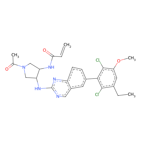 C=CC(=O)NC1CN(C(C)=O)CC1Nc1ncc2cc(-c3c(Cl)c(CC)cc(OC)c3Cl)ccc2n1